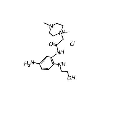 CN1CC[N+](C)(CC(=O)Nc2cc(N)ccc2NCCO)CC1.[Cl-]